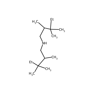 CCC(C)(C)C(C)CNCC(C)C(C)(C)CC